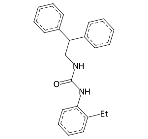 CCc1ccccc1NC(=O)NCC(c1ccccc1)c1ccccc1